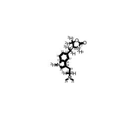 [2H]N1C(=O)OC([2H])([2H])[C@@H]1C([2H])([2H])c1ccc2c(c1)c(CC([2H])([2H])N(C)C)cn2[2H]